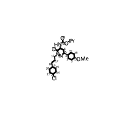 COc1ccc(-c2cc(NC(=O)OC(C)C)c(=O)n(CC=Cc3ccc(Cl)cc3)n2)cc1